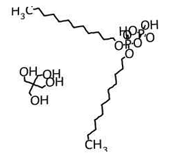 CCCCCCCCCCCCOP(=O)(OCCCCCCCCCCCC)OP(=O)(O)O.OCC(CO)(CO)CO